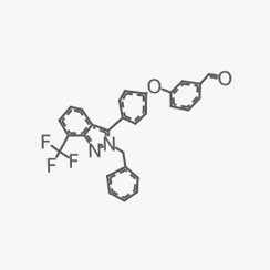 O=Cc1cccc(Oc2ccc(-c3c4cccc(C(F)(F)F)c4nn3Cc3ccccc3)cc2)c1